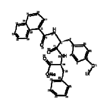 CCOc1ccc(C[C@@H](NC(=O)c2cccc3ccccc23)C(=O)N[C@@H](Cc2ccccc2)C(=O)OC)cc1